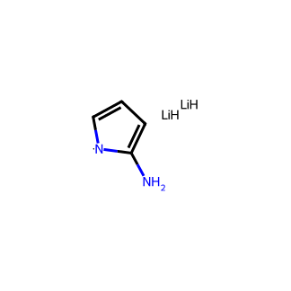 NC1=CC=C[N]1.[LiH].[LiH]